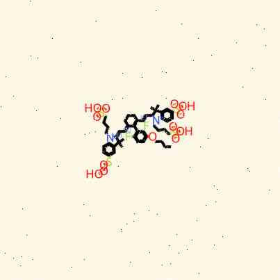 CCCCOc1ccc(F)c(C2=C(/C=C/C3=[N+](CCCCS(=O)(=O)O)c4ccc(S(=O)(=O)O)cc4C3(C)C)CCC/C2=C\C=C2\N(CCCCS(=O)(=O)O)c3ccc(SOOO)cc3C2(C)C)c1F